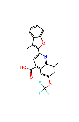 Cc1c(-c2cc(C(=O)O)c3cc(OC(F)(F)F)cc(C)c3n2)oc2ccccc12